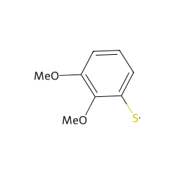 COc1cccc([S])c1OC